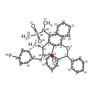 C[C@H]1c2c(c(OC(c3ccccc3)c3ccccc3)c3ncccc3c2N(C)S(C)(=O)=O)C(=O)N1Cc1ccc(F)cc1